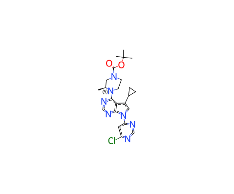 C[C@H]1CN(C(=O)OC(C)(C)C)CCN1c1ncnc2c1c(C1CC1)cn2-c1cc(Cl)ncn1